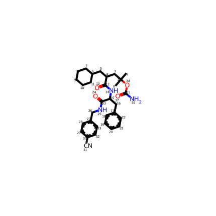 CC(C)(CC(CC1CCCCC1)C(=O)NC(Cc1ccccc1)C(=O)NCc1ccc(C#N)cc1)OC(N)=O